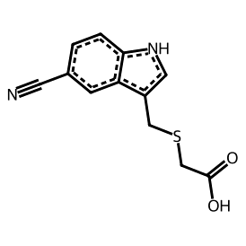 N#Cc1ccc2[nH]cc(CSCC(=O)O)c2c1